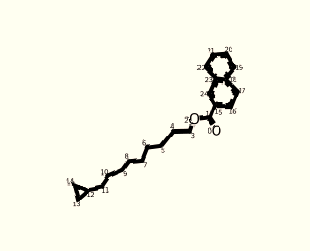 O=C(OCCCCCCCCCC1CC1)c1ccc2ccccc2c1